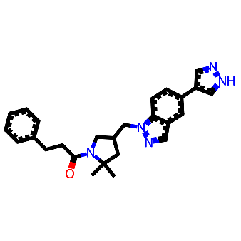 CC1(C)CC(Cn2ncc3cc(-c4cn[nH]c4)ccc32)CN1C(=O)CCc1ccccc1